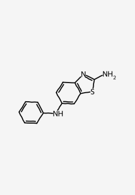 Nc1nc2ccc(Nc3ccccc3)cc2s1